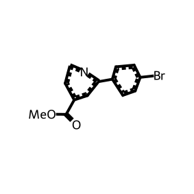 COC(=O)c1ccnc(-c2ccc(Br)cc2)c1